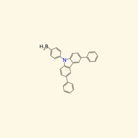 Bc1ccc(-n2c3ccc(-c4ccccc4)cc3c3cc(-c4ccccc4)ccc32)cc1